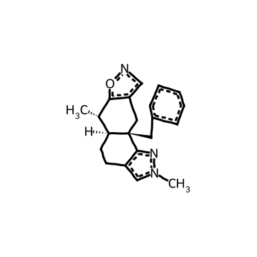 C[C@@H]1c2oncc2C[C@]2(Cc3ccccc3)c3nn(C)cc3CC[C@@H]12